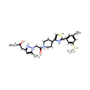 COC(=O)Cc1cc(C)n(CC(=O)N2CCC(c3csc(-c4cc(SC(F)(F)F)cc(C(C)(C)C)c4)n3)CC2)n1